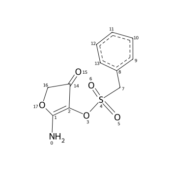 NC1=C(OS(=O)(=O)Cc2ccccc2)C(=O)CO1